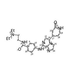 CCN(CC)CCNC(=O)c1ccc(Nc2ncc(-c3cc[nH]c(=O)c3)n3ccnc23)cc1